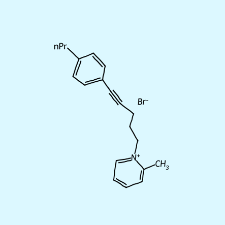 CCCc1ccc(C#CCCC[n+]2ccccc2C)cc1.[Br-]